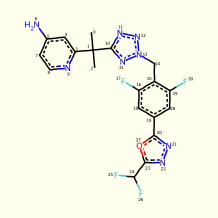 CC(C)(c1cc(N)ccn1)c1nnn(Cc2c(F)cc(-c3nnc(C(F)F)o3)cc2F)n1